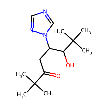 CC(C)(C)C(=O)CC(C(O)C(C)(C)C)n1cncn1